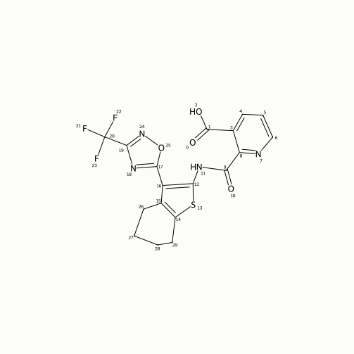 O=C(O)c1cccnc1C(=O)Nc1sc2c(c1-c1nc(C(F)(F)F)no1)CCCC2